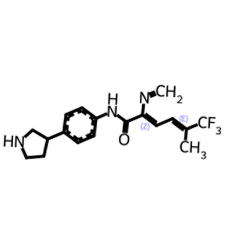 C=N/C(=C\C=C(/C)C(F)(F)F)C(=O)Nc1ccc(C2CCNC2)cc1